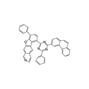 c1ccc(-c2nc(-c3ccc4ccc5ccccc5c4c3)nc(-c3ccc(-c4ccccc4)c4oc5cc6cnccc6cc5c34)n2)cc1